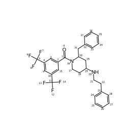 O=C(c1cc(C(F)(F)F)cc(C(F)(F)F)c1)N1CCC(NCCc2ccccc2)CC1Cc1ccccc1